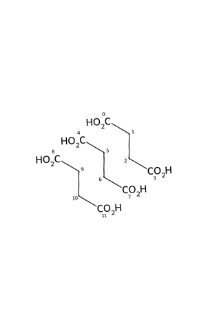 O=C(O)CCC(=O)O.O=C(O)CCC(=O)O.O=C(O)CCC(=O)O